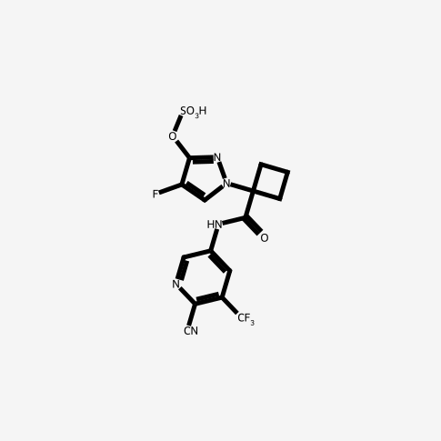 N#Cc1ncc(NC(=O)C2(n3cc(F)c(OS(=O)(=O)O)n3)CCC2)cc1C(F)(F)F